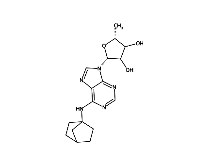 C[C@H]1O[C@@H](n2cnc3c(NC45CCC(CC4)C5)ncnc32)C(O)C1O